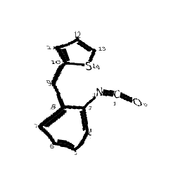 O=C=Nc1ccccc1Cc1cccs1